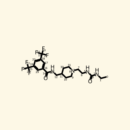 CCNC(=O)NCCN1CCC(CNC(=O)c2cc(C(F)(F)F)cc(C(F)(F)F)c2)CC1